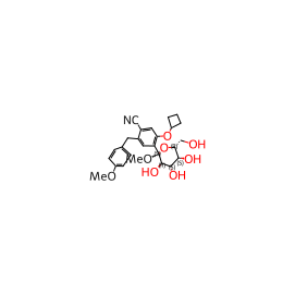 COc1ccc(Cc2cc([C@]3(OC)O[C@H](CO)[C@@H](O)[C@H](O)[C@H]3O)c(OC3CCC3)cc2C#N)cc1